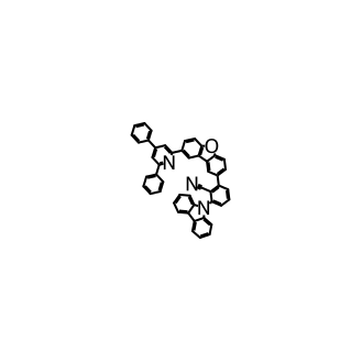 N#Cc1c(-c2ccc3oc4ccc(-c5cc(-c6ccccc6)cc(-c6ccccc6)n5)cc4c3c2)cccc1-n1c2ccccc2c2ccccc21